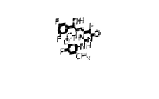 COc1cc(Nc2nc(=O)c(F)c(CCC(O)c3cc(F)cc(F)c3)[nH]2)c(C)cc1F